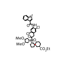 CCOC(=O)[C@H]1CC[C@H](OC(C(=O)Cc2cc(Cl)c(NC(=O)c3cn(C)c4ccccc34)cc2Cl)(N2CCCC2)N2C[C@H](OC)[C@H](OC)C2)CC1